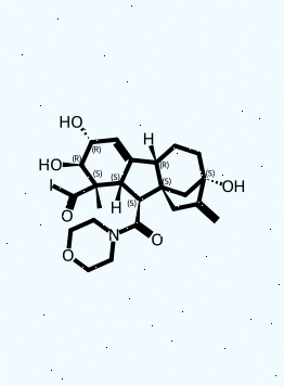 C=C1C[C@]23C[C@@]1(O)CC[C@H]2C1=C[C@@H](O)[C@H](O)[C@@](C)(C(=O)I)[C@H]1[C@@H]3C(=O)N1CCOCC1